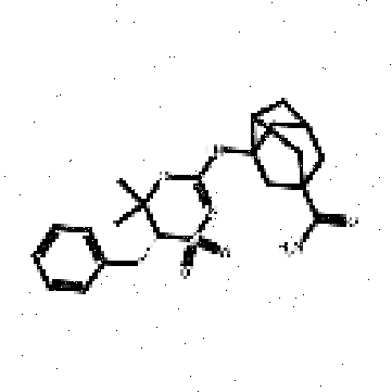 CC1(C)OC(NC23CC4CC2CC(C(N)=O)(C4)C3)=NS(=O)(=O)[C@@H]1Cc1ccccc1